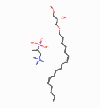 CC(C[N+](C)(C)C)P(=O)(O)O.CCCC/C=C\CCCC/C=C\CCCCCOC[C@@H](O)COC